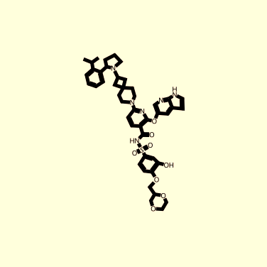 CC(C)c1ccccc1C1CCCN1C1CC2(CCN(c3ccc(C(=O)NS(=O)(=O)c4ccc(OCC5COCCO5)c(O)c4)c(Oc4cnc5[nH]ccc5c4)n3)CC2)C1